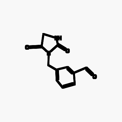 O=Cc1cccc(CN2C(=O)CNC2=O)c1